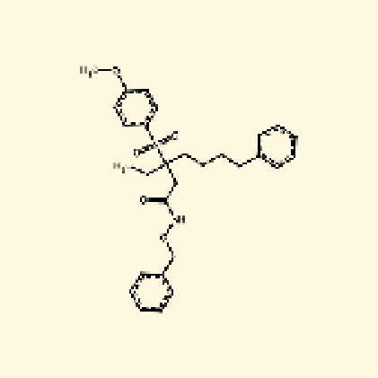 CCC(CCCCc1ccccc1)(CC(=O)NOCc1ccccc1)S(=O)(=O)c1ccc(OC)cc1